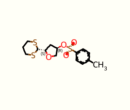 Cc1ccc(S(=O)(=O)O[C@H]2CO[C@H](C3SCCCS3)C2)cc1